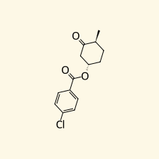 C[C@H]1CC[C@H](OC(=O)c2ccc(Cl)cc2)CC1=O